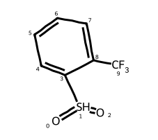 O=[SH](=O)c1ccccc1C(F)(F)F